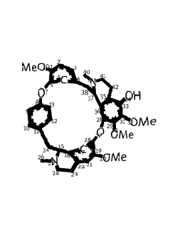 COc1ccc2cc1Oc1ccc(cc1)CC1c3cc(c(OC)cc3CCN1C)Oc1c(OC)c(OC)c(O)c3c1C(C2)N(C)CC3